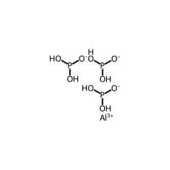 [Al+3].[O-]P(O)O.[O-]P(O)O.[O-]P(O)O